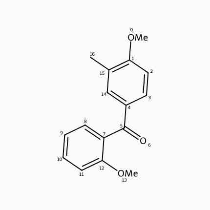 COc1ccc(C(=O)c2ccccc2OC)cc1C